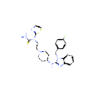 CNC(=S)N(CCN1CCC(Nc2nc3ccccc3n2Cc2ccc(F)cc2)CC1)c1nccs1